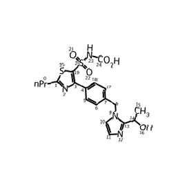 CCCc1nc(-c2ccc(Cn3ccnc3C(C)O)cc2)c(S(=O)(=O)NC(=O)O)s1